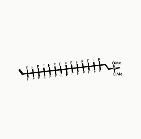 C=CC(F)(F)C(F)(F)C(F)(F)C(F)(F)C(F)(F)C(F)(F)C(F)(F)C(F)(F)C(F)(F)C(F)(F)C(F)(F)C(F)(F)C(F)(F)C(F)(F)CC[Si](C)(OC)OC